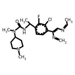 C=N/C(=C\N=C/C)c1ccc(C(C)NC(=O)N(C)C2CCN(C)CC2)c(F)c1Cl